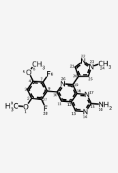 COc1cc(OC)c(F)c(-c2cc3cnc(N)nc3c(-c3cnn(C)c3)n2)c1F